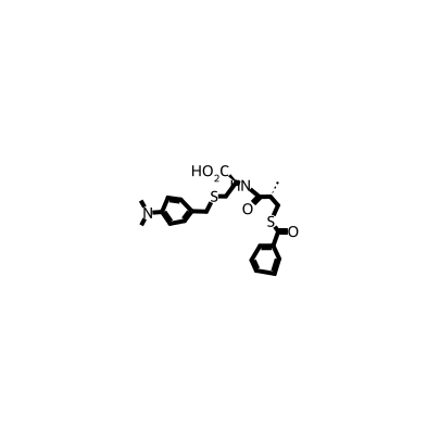 C[C@H](CSC(=O)c1ccccc1)C(=O)N[C@@H](CSCc1ccc(N(C)C)cc1)C(=O)O